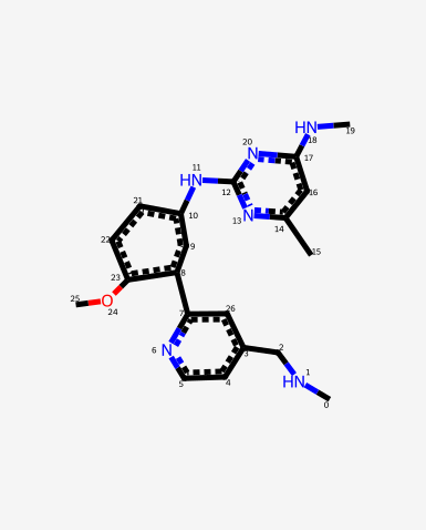 CNCc1ccnc(-c2cc(Nc3nc(C)cc(NC)n3)ccc2OC)c1